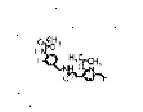 CC(C)Oc1nc(CF)ccc1/C=C/C(=O)NCc1ccc(NS(C)(=O)=O)c(F)c1